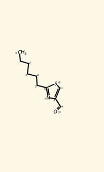 CCCCCCc1nc(C=O)cs1